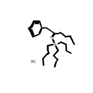 CCCCC(Cc1ccccc1)O[N+](CCCC)(CCCC)CCCC.[BH4-]